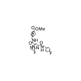 COC(=O)C12CCC(CNC(=O)c3cc(C(=O)NCc4ccc(F)cc4)nc4c(F)cnn34)(CC1)CC2